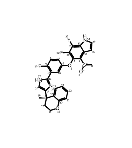 C[S+]([O-])c1c(Oc2ccc(F)c(-c3nc([C@@]4(C)CCOc5ccccc54)c[nH]3)c2)c(F)c(F)c2[nH]ccc12